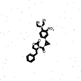 CC(C)CN(CC(C)C)c1ccc([C@@H]2C[C@@H]2C(=O)N2C(=O)OCC2Cc2ccccc2)cc1[N+](=O)[O-]